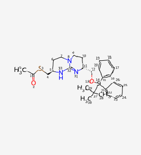 CC(=O)SC[C@H]1CCN2CC[C@H](CO[Si](c3ccccc3)(c3ccccc3)C(C)(C)C)N=C2N1